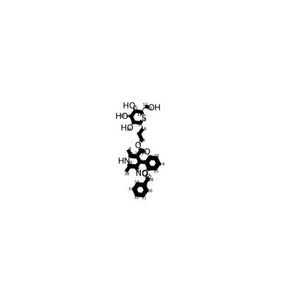 CC1=C(C(=O)OCCC[C@H]2S[C@@H](CO)[C@@H](O)[C@H](O)[C@H]2O)C(c2ccccc2OCc2ccccc2)C([N+](=O)[O-])=C(C)N1